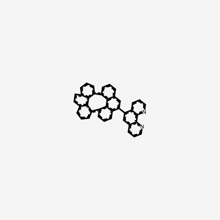 c1cnc2c(c1)cc(-c1cc3cccc4c5cccc6ccc7cccc(c8cccc1c8c34)c7c65)c1cccnc12